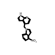 O=[N+]([O-])c1cccc2c1ccn2Cc1ccnc2[nH]ccc12